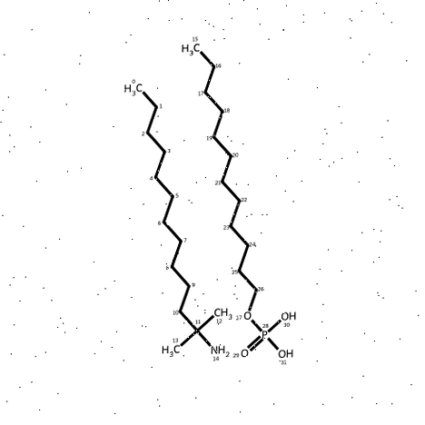 CCCCCCCCCCCC(C)(C)N.CCCCCCCCCCCCOP(=O)(O)O